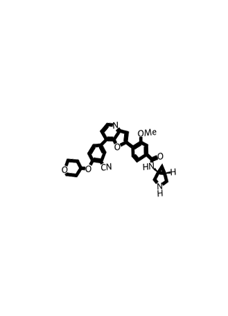 COc1cc(C(=O)N[C@]23CNC[C@H]2C3)ccc1-c1cc2nccc(-c3ccc(OC4CCOCC4)c(C#N)c3)c2o1